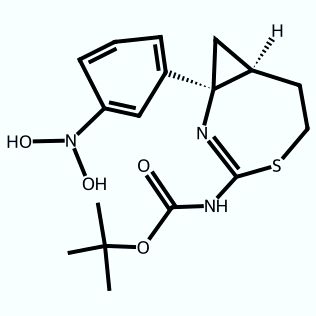 CC(C)(C)OC(=O)NC1=N[C@@]2(c3cccc(N(O)O)c3)C[C@H]2CCS1